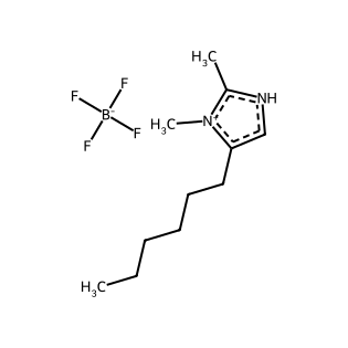 CCCCCCc1c[nH]c(C)[n+]1C.F[B-](F)(F)F